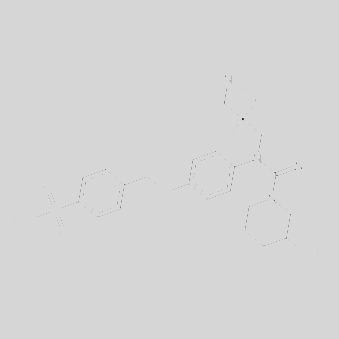 CC1CCCN(C(=N)N(CC(C)(C)CN)c2ccc(OCc3ccc(S(C)(=O)=O)cc3)cc2)C1